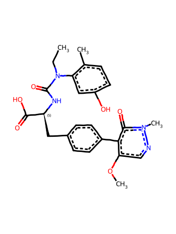 CCN(C(=O)N[C@@H](Cc1ccc(-c2c(OC)cnn(C)c2=O)cc1)C(=O)O)c1cc(O)ccc1C